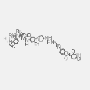 CCc1cc(Nc2ncc(Br)c(Nc3ccc4nccnc4c3P(C)(C)=O)n2)c(OC)cc1N1CCC(NCCNCC2CN(c3ccc4c(c3)CN(C3CCC(=O)NC3=O)C4=O)C2)CC1